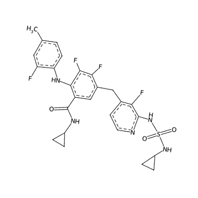 Cc1ccc(Nc2c(C(=O)NC3CC3)cc(Cc3ccnc(NS(=O)(=O)NC4CC4)c3F)c(F)c2F)c(F)c1